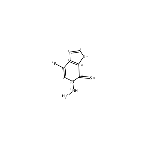 CNn1cc(F)c2ccsc2c1=S